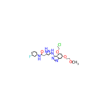 COCCOc1cc(OCCCl)c2c(Nc3cc(CC(=O)Nc4cccc(F)c4)[nH]n3)ncnc2c1